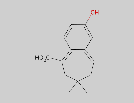 CC1(C)CC=c2cc(O)ccc2=C(C(=O)O)C1